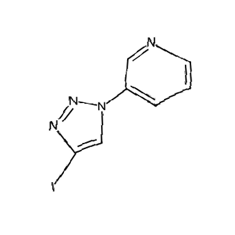 Ic1cn(-c2cccnc2)nn1